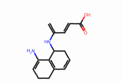 C=C(C=CC(=O)O)NC1CC=CC2=C1C(N)=CCC2